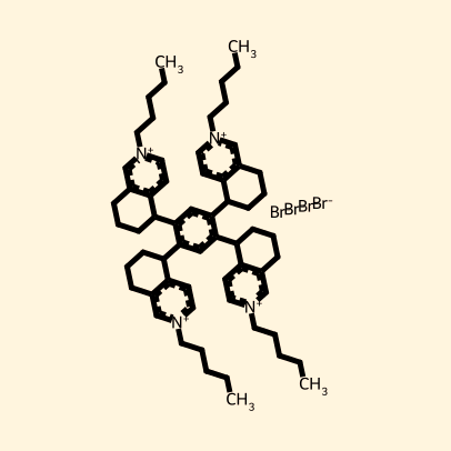 CCCCC[n+]1ccc2c(c1)CCCC2c1cc(C2CCCc3c[n+](CCCCC)ccc32)c(C2CCCc3c[n+](CCCCC)ccc32)cc1C1CCCc2c[n+](CCCCC)ccc21.[Br-].[Br-].[Br-].[Br-]